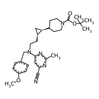 COc1ccc(CN(CC[C@H]2C[C@H]2C2CCN(C(=O)OC(C)(C)C)CC2)c2cc(C#N)nc(C)n2)cc1